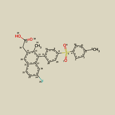 Cc1ccc(S(=O)(=O)c2ccc(-c3c(C)c(CC(=O)O)cc4ccc(F)cc34)cc2)cc1